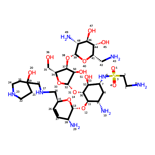 NCCS(=O)(=O)N[C@@H]1C[C@H](N)[C@@H](O[C@H]2O[C@H](CNCC3(O)CCNCC3)C=C[C@H]2N)[C@H](O[C@@H]2O[C@H](CO)[C@@H](O[C@H]3O[C@@H](CN)[C@@H](O)[C@H](O)[C@H]3N)[C@H]2O)[C@H]1O